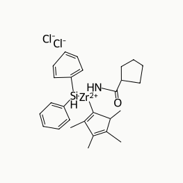 CC1=C(C)C(C)[C]([Zr+2]([NH]C(=O)C2CCCC2)[SiH](c2ccccc2)c2ccccc2)=C1C.[Cl-].[Cl-]